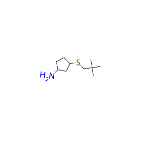 CC(C)(C)CSC1CCC(N)C1